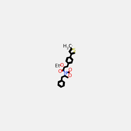 [CH2]c1cc(-c2ccc(CC(OCC)C(=O)N3C(=O)OCC3Cc3ccccc3)cc2)cs1